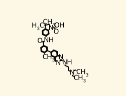 CCN(CC)CCCNc1ncc2cc(-c3cc(C(=O)Nc4ccc5c(c4)N(C(=O)O)CC5(C)C)ccc3C)ccc2n1